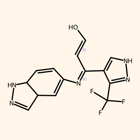 O/C=C/C(=N\C1=CC2C=NNC2C=C1)c1c[nH]nc1C(F)(F)F